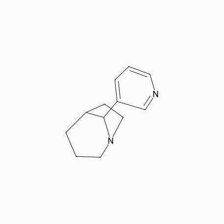 c1cncc(C2C3CCCN2CC3)c1